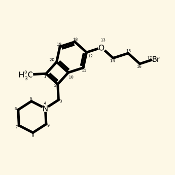 CC1=C(CN2CCCCC2)c2cc(OCCCBr)ccc21